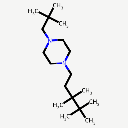 CC(C)(C)CN1CCN(CCC(C)(C)C(C)(C)C)CC1